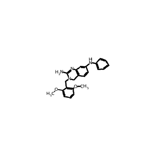 COc1cccc(OC)c1CN1Cc2ccc(Nc3ccccc3)cc2N=C1N